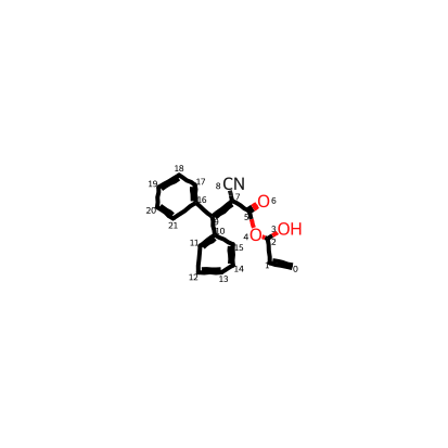 C=CC(O)OC(=O)C(C#N)=C(c1ccccc1)c1ccccc1